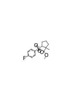 COC(=O)C1(C)CCCC1S(=O)(=O)c1ccc(F)cc1